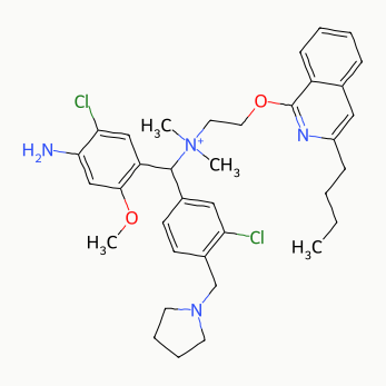 CCCCc1cc2ccccc2c(OCC[N+](C)(C)C(c2ccc(CN3CCCC3)c(Cl)c2)c2cc(Cl)c(N)cc2OC)n1